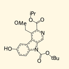 COCc1c(C(=O)OC(C)C)ncc2c1c1cc(O)ccc1n2C(=O)OC(C)(C)C